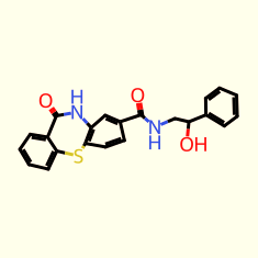 O=C(NCC(O)c1ccccc1)c1ccc2c(c1)NC(=O)c1ccccc1S2